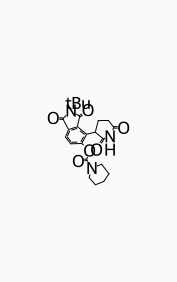 CC(C)(C)N1C(=O)c2ccc(OC(=O)N3CCCCC3)c(C3CCC(=O)NC3=O)c2C1=O